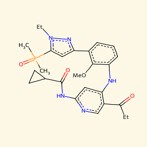 CCC(=O)c1cnc(NC(=O)C2CC2)cc1Nc1cccc(-c2cc(P(C)(C)=O)n(CC)n2)c1OC